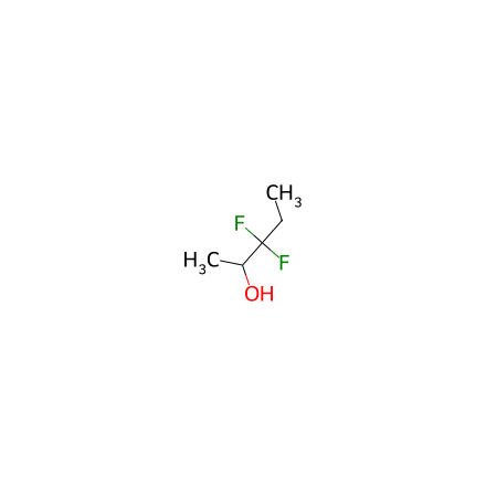 CCC(F)(F)C(C)O